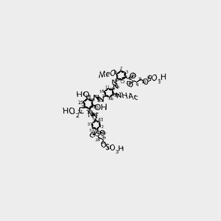 COc1ccc(S(=O)(=O)CCOS(=O)(=O)O)cc1N=Nc1ccc(N=Nc2c(O)cc(C(=O)O)c(N=Nc3ccc(S(=O)(=O)CCOS(=O)(=O)O)cc3)c2O)cc1NC(C)=O